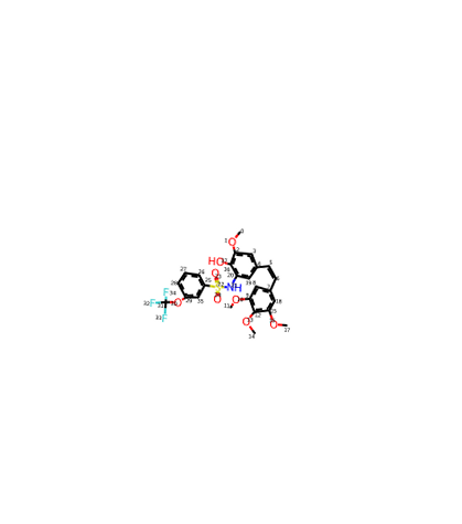 COc1cc(/C=C\c2cc(OC)c(OC)c(OC)c2)cc(NS(=O)(=O)c2cccc(OC(F)(F)F)c2)c1O